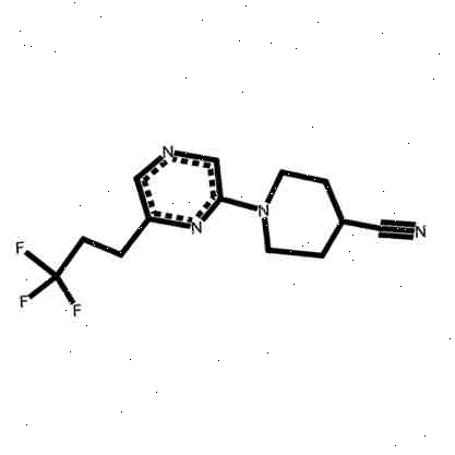 N#CC1CCN(c2cncc(CCC(F)(F)F)n2)CC1